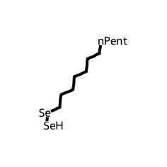 CCCCCCCCCCCC[Se][SeH]